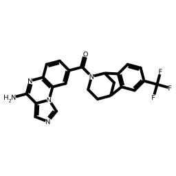 Nc1nc2ccc(C(=O)N3CCC4CC3c3ccc(C(F)(F)F)cc34)cc2n2cncc12